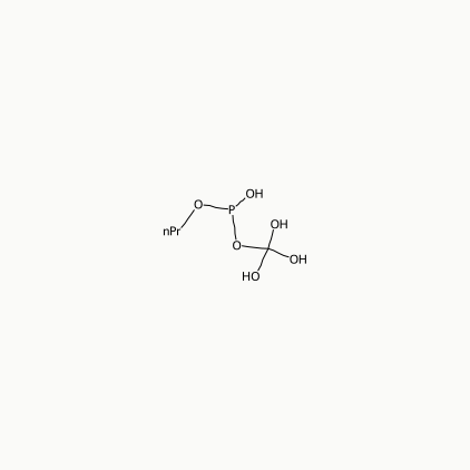 CCCOP(O)OC(O)(O)O